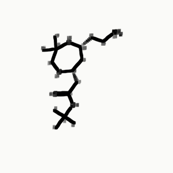 CC(C)(C)OC(=O)C[C@H]1C[C@@H](CCN)OC(C)(C)CO1